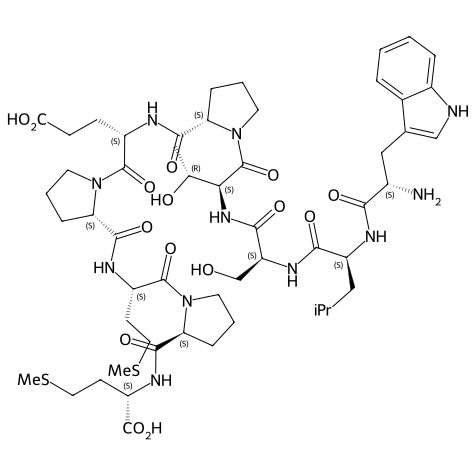 CSCC[C@H](NC(=O)[C@@H]1CCCN1C(=O)[C@H](CCSC)NC(=O)[C@@H]1CCCN1C(=O)[C@H](CCC(=O)O)NC(=O)[C@@H]1CCCN1C(=O)[C@@H](NC(=O)[C@H](CO)NC(=O)[C@H](CC(C)C)NC(=O)[C@@H](N)Cc1c[nH]c2ccccc12)[C@@H](C)O)C(=O)O